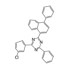 Clc1cccc(-c2nc(-c3ccccc3)nc(-c3ccc(-c4ccccc4)c4ccccc34)n2)c1